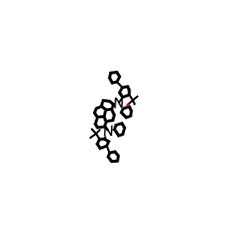 CC(C)(C)c1ccc(-c2ccccc2)cc1N(c1ccccc1)c1ccc2ccc3ccc(N(c4ccccc4)c4cc(-c5ccccc5)ccc4C(C)(C)C)c4ccc1c2c34